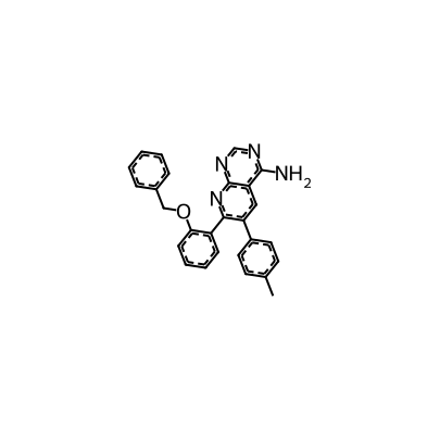 Cc1ccc(-c2cc3c(N)ncnc3nc2-c2ccccc2OCc2ccccc2)cc1